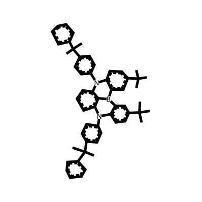 CC(C)(C)c1ccc2c(c1)B1c3cc(C(C)(C)C)ccc3N(c3ccc(C(C)(C)c4ccccc4)cc3)c3cccc(c31)N2c1ccc(C(C)(C)c2ccccc2)cc1